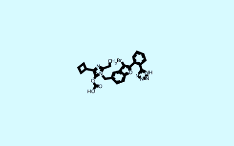 CCc1nc(C2CCC2)c(OC(=O)O)n1Cc1ccc2oc(-c3ccccc3-c3nnn[nH]3)c(Br)c2c1